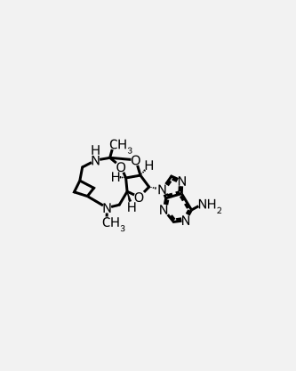 CN1C[C@H]2O[C@@H](n3cnc4c(N)ncnc43)[C@@H]3OC(C)(NCC4CC1C4)O[C@@H]32